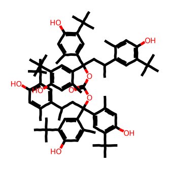 Cc1cc(O)c(C(C)(C)C)cc1C(C)CC(OC(=O)OC(CC(C)c1cc(C(C)(C)C)c(O)cc1C)(c1cc(C(C)(C)C)c(O)cc1C)c1cc(C(C)(C)C)c(O)cc1C)(c1cc(C(C)(C)C)c(O)cc1C)c1cc(C(C)(C)C)c(O)cc1C